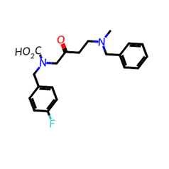 CN(CCC(=O)CN(Cc1ccc(F)cc1)C(=O)O)Cc1ccccc1